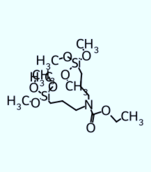 CCOC(=O)N(CCC[Si](OC)(OC)OC)CCC[Si](OC)(OC)OC